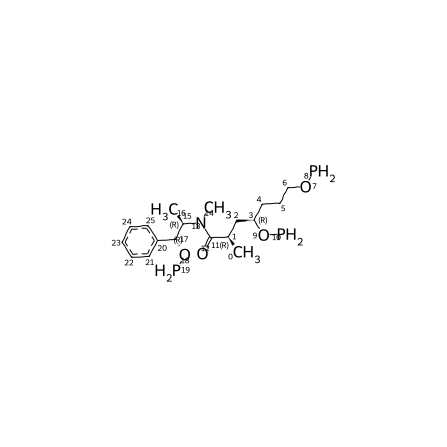 C[C@H](C[C@@H](CCCOP)OP)C(=O)N(C)[C@H](C)[C@H](OP)c1ccccc1